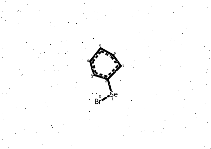 Br[Se]c1[c]cccc1